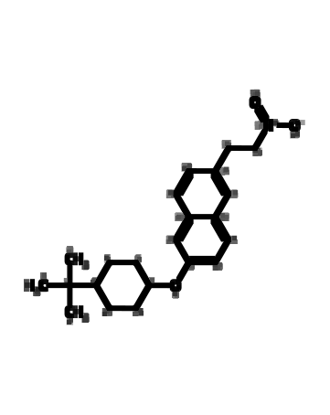 CC(C)(C)C1CCC(Oc2ccc3cc(CC[N+](=O)[O-])ccc3c2)CC1